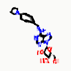 OC[C@H]1O[C@@H](n2cnc3c(N/N=C/c4ccc(N5CCCC5)cc4)ncnc32)[C@H](O)[C@@H]1O